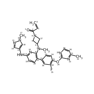 C=CC(=O)N1CC(N(C)c2nc(Nc3cnn(C)c3)ncc2-c2ccc(Oc3nccc(C)n3)c(F)c2)C1